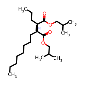 CCCCCCCC/C(C(=O)OCC(C)C)=C(\CCC)C(=O)OCC(C)C